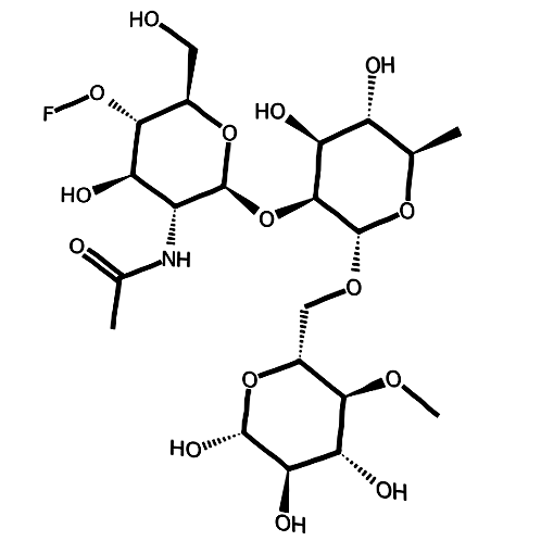 CO[C@H]1[C@H](O)[C@@H](O)[C@H](O)O[C@@H]1CO[C@H]1O[C@H](C)[C@@H](O)[C@H](O)[C@@H]1O[C@@H]1O[C@H](CO)[C@@H](OF)[C@H](O)[C@H]1NC(C)=O